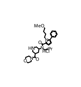 COCCCCn1c(C(=O)N(CC(C)C)C2CNCC(C(=O)N3CCOCC3)C2)ccc1-c1ccccc1.Cl